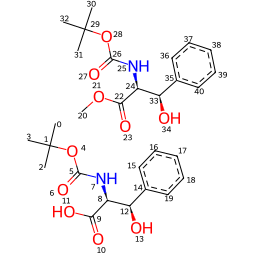 CC(C)(C)OC(=O)N[C@H](C(=O)O)[C@H](O)c1ccccc1.COC(=O)[C@@H](NC(=O)OC(C)(C)C)[C@H](O)c1ccccc1